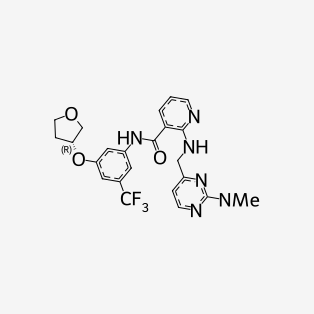 CNc1nccc(CNc2ncccc2C(=O)Nc2cc(O[C@@H]3CCOC3)cc(C(F)(F)F)c2)n1